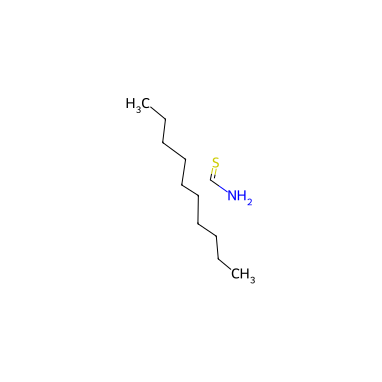 CCCCCCCCCC.NC=S